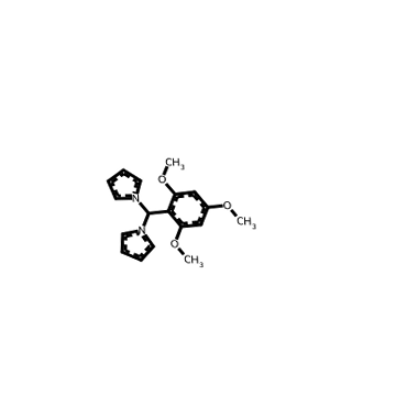 COc1cc(OC)c(C(n2cccc2)n2cccc2)c(OC)c1